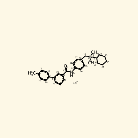 Cc1ccc(-c2cccc(C(=O)Nc3ccc(C[N+](C)(C)C4CCCCC4)cc3)c2)cc1.[I-]